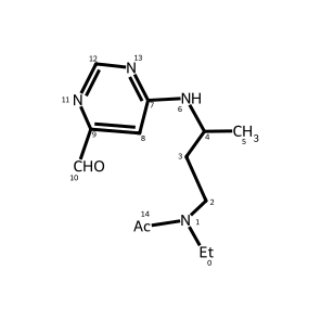 CCN(CCC(C)Nc1cc(C=O)ncn1)C(C)=O